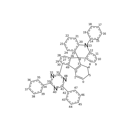 C1=CC2=C(CC1)C1(c3ccccc3N(c3ccccc3)c3ccccc31)c1cccc(-c3nc(-c4ccccc4)nc(-c4ccccc4)n3)c12